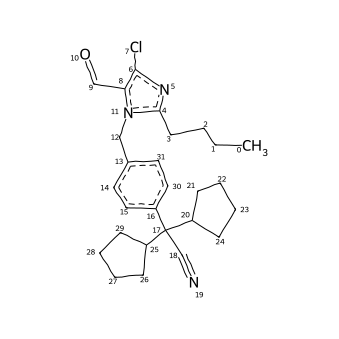 CCCCc1nc(Cl)c(C=O)n1Cc1ccc(C(C#N)(C2CCCC2)C2CCCC2)cc1